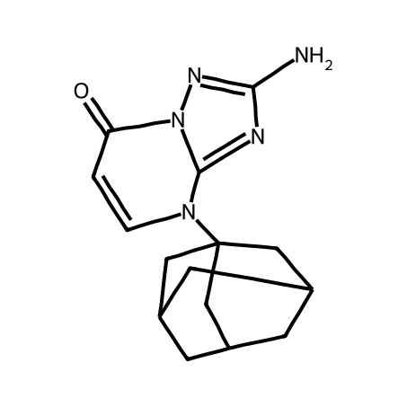 Nc1nc2n(C34CC5CC(CC(C5)C3)C4)ccc(=O)n2n1